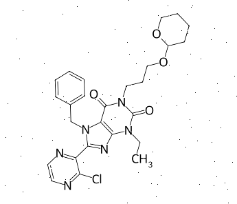 CCn1c(=O)n(CCCOC2CCCCO2)c(=O)c2c1nc(-c1nccnc1Cl)n2Cc1ccccc1